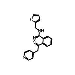 c1coc(CNc2nnc(Cc3ccncc3)c3ccccc23)c1